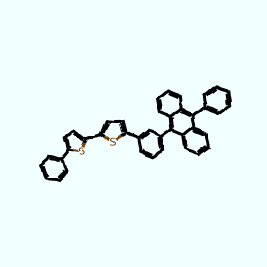 c1ccc(-c2ccc(-c3ccc(-c4cccc(-c5c6ccccc6c(-c6ccccc6)c6ccccc56)c4)s3)s2)cc1